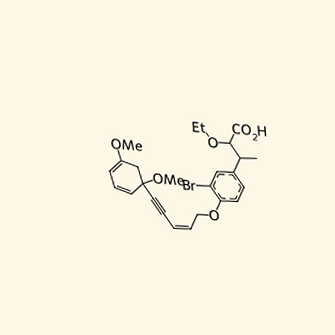 CCOC(C(=O)O)C(C)c1ccc(OC/C=C\C#CC2(OC)C=CC=C(OC)C2)c(Br)c1